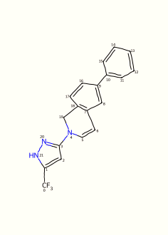 FC(F)(F)c1cc(N2C=Cc3cc(-c4ccccc4)ccc3C2)n[nH]1